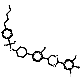 CCCCCc1ccc(C(F)(F)OC2CCC(c3ccc(C4COC(c5cc(F)c(F)c(F)c5)OC4)c(F)c3)CC2)cc1